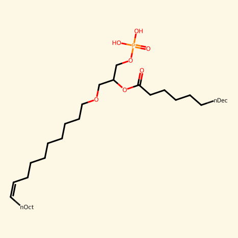 CCCCCCCC/C=C\CCCCCCCCOCC(COP(=O)(O)O)OC(=O)CCCCCCCCCCCCCCC